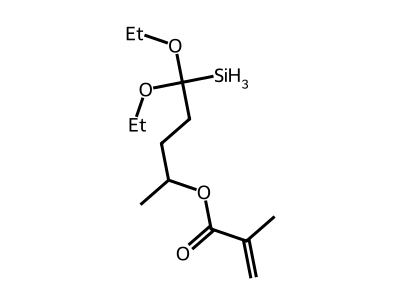 C=C(C)C(=O)OC(C)CCC([SiH3])(OCC)OCC